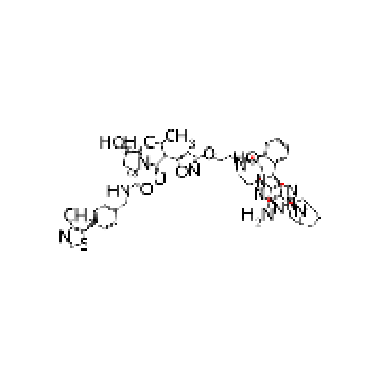 Cc1ncsc1-c1ccc(CNC(=O)[C@@H]2C[C@@H](O)CN2C(=O)C(c2cc(OCCN3CCC(c4cnc(N5C6CCC5CN(c5cc(-c7ccccc7O)nnc5N)C6)nc4)CC3)no2)C(C)C)cc1